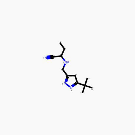 CCC(C#N)NCC1=NN=C(C(C)(C)C)C1